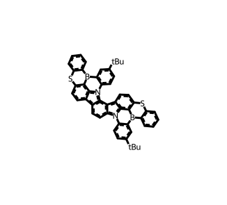 CC(C)(C)c1ccc2c(c1)B1c3ccccc3Sc3ccc4c5c(ccc6c7ccc8c9c7n(c65)-c5ccc(C(C)(C)C)cc5B9c5ccccc5S8)n-2c4c31